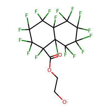 [O]CCOC(=O)C1(F)C(F)(F)C(F)(F)C(F)(F)C2(F)C(F)(F)C(F)(F)C(F)(F)C(F)(F)C12F